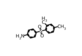 Cc1ccc(S(=O)(=O)c2ccc(N)cc2)c(C)c1